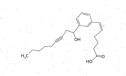 CCCCCC#CCC(O)c1cccc(/C=C\CCCC(=O)O)c1